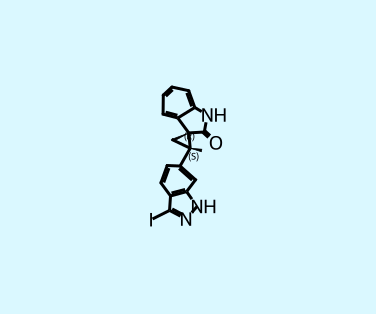 C[C@@]1(c2ccc3c(I)n[nH]c3c2)C[C@@]12C(=O)Nc1ccccc12